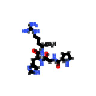 N=C(N)NCCC[C@H](NC(=O)[C@H](Cc1c[nH]cn1)NC(=O)CNC(=O)[C@@H]1CCCN1)C(=O)O